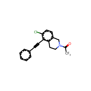 O=C(N1CCc2c(ccc(Cl)c2C#Cc2ccccc2)C1)C(F)(F)F